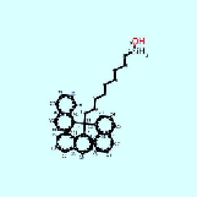 O[SiH2]CCCCCCCCCC(c1cccc2ccccc12)(c1cccc2ccccc12)c1cccc2ccccc12